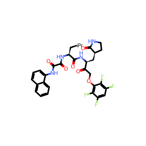 CC(C)C[C@H](NC(=O)C(=O)Nc1cccc2ccccc12)C(=O)N[C@@H](C[C@@H]1CCNC1=O)C(=O)COc1c(F)c(F)cc(F)c1F